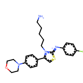 NCCCCCn1c(-c2ccc(N3CCOCC3)cc2)cs/c1=N\c1ccc(F)cc1